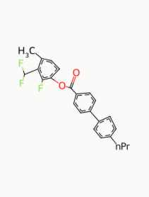 CCCc1ccc(-c2ccc(C(=O)Oc3ccc(C)c(C(F)F)c3F)cc2)cc1